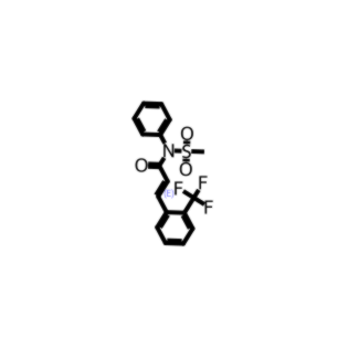 CS(=O)(=O)N(C(=O)/C=C/c1ccccc1C(F)(F)F)c1ccccc1